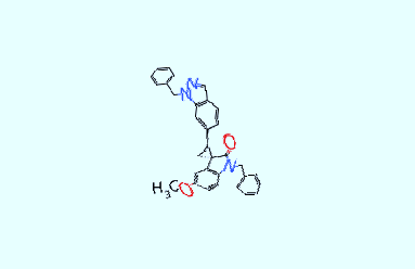 COc1ccc2c(c1)[C@]1(C[C@H]1c1ccc3cnn(Cc4ccccc4)c3c1)C(=O)N2Cc1ccccc1